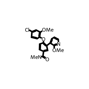 CNC(=O)c1ccc(Oc2ccc(Cl)cc2OC)c(-c2cccnc2OC)c1